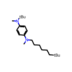 CN(CCCCCCC(C)(C)C)c1ccc(N(C)C(C)(C)C)cc1